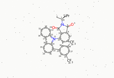 CC(C)[C@H](C)N1C(=O)c2cccc(-n3c4ccccc4c4cccc(-c5cc(C(F)(F)F)cc(C(F)(F)F)c5)c43)c2C1=O